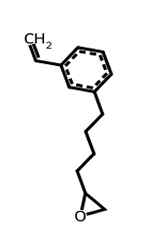 C=Cc1cccc(CCCCC2CO2)c1